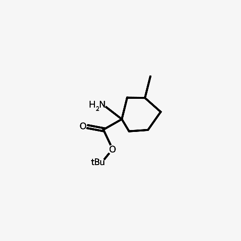 CC1CCCC(N)(C(=O)OC(C)(C)C)C1